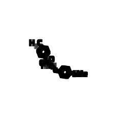 CSc1ccc(/C=N/NS(=O)(=O)c2ccc(C)cc2)cc1